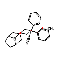 C=CCCCCN1C2CCC1CC(CC(C#N)(c1ccccc1)c1ccccc1)C2